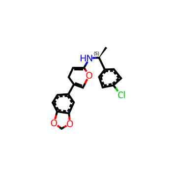 C[C@H](NC1=CCC(c2ccc3c(c2)OCO3)=CO1)c1ccc(Cl)cc1